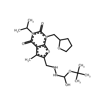 Cc1c(CNNC(O)OC(C)(C)C)sc2c1c(=O)n(C(C)C)c(=O)n2CC1CCCO1